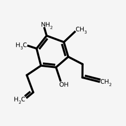 C=CCc1c(C)c(N)c(C)c(CC=C)c1O